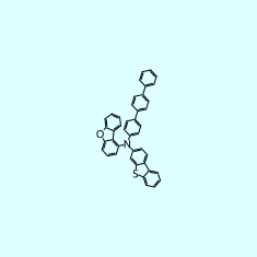 c1ccc(-c2ccc(-c3ccc(N(c4ccc5c(c4)sc4ccccc45)c4cccc5oc6ccccc6c45)cc3)cc2)cc1